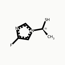 C[C@H](S)n1cnc(F)c1